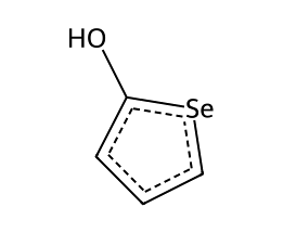 Oc1ccc[se]1